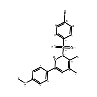 COc1ccc(C2=CC(C)=C(C)N(S(=O)(=O)c3ccc(F)cc3)O2)cc1